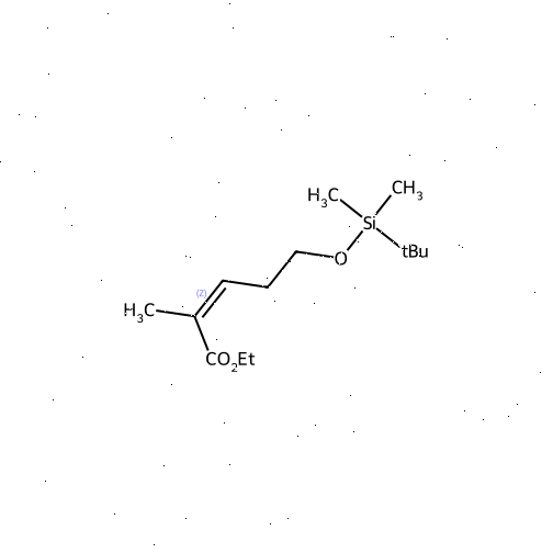 CCOC(=O)/C(C)=C\CCO[Si](C)(C)C(C)(C)C